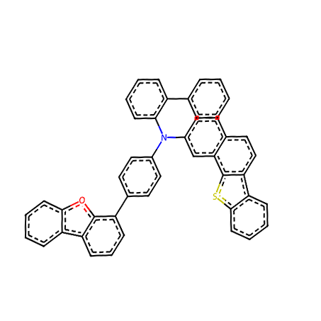 c1ccc(-c2ccccc2N(c2ccc(-c3cccc4c3oc3ccccc34)cc2)c2ccc3ccc4c5ccccc5sc4c3c2)cc1